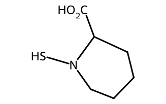 O=C(O)C1CCCCN1S